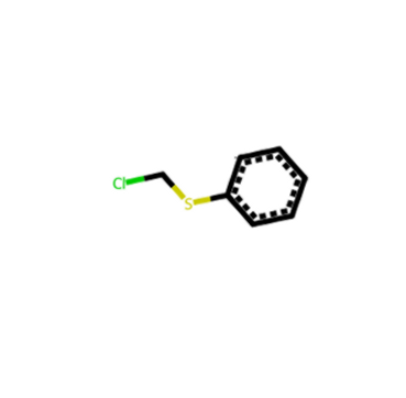 ClCSc1[c]cccc1